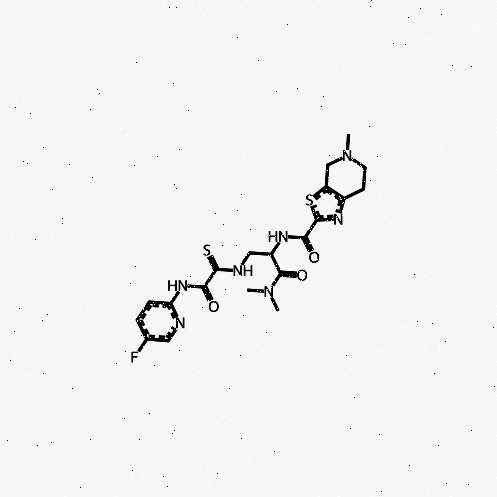 CN1CCc2nc(C(=O)NC(CNC(=S)C(=O)Nc3ccc(F)cn3)C(=O)N(C)C)sc2C1